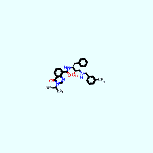 CCCC(CCC)n1cnc2c(C(=O)N[C@@H](Cc3ccccc3)[C@H](O)CNCc3cccc(C(F)(F)F)c3)cccc2c1=O